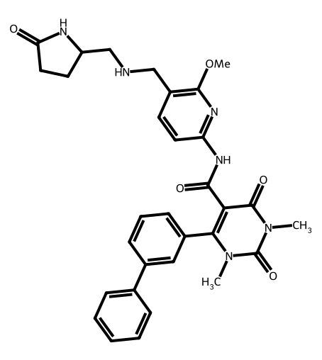 COc1nc(NC(=O)c2c(-c3cccc(-c4ccccc4)c3)n(C)c(=O)n(C)c2=O)ccc1CNCC1CCC(=O)N1